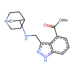 COC(=O)c1cccc2[nH]nc(CNC3CN4CCC3CC4)c12